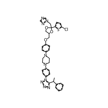 CC(c1ccccc1)c1nnnn1-c1ccc(N2CCN(c3ccc(OCC4COC(Cn5cncn5)(c5ccc(Cl)s5)O4)cc3)CC2)cc1